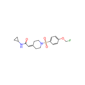 O=C(C=C1CCN(S(=O)(=O)c2ccc(OCF)cc2)CC1)NC1CC1